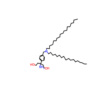 CCCCCCCCCCCCCCCCCCN(CCCCCCCCCCCCCCCCCC)Cc1ccc(C(N)(CCO)CCO)cc1